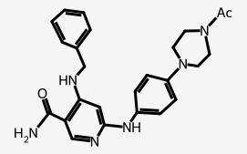 CC(=O)N1CCN(c2ccc(Nc3cc(NCc4ccccc4)c(C(N)=O)cn3)cc2)CC1